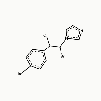 ClC(c1ccc(Br)cc1)C(Br)n1ccnc1